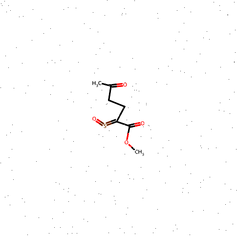 COC(=O)C(CCC(C)=O)=S=O